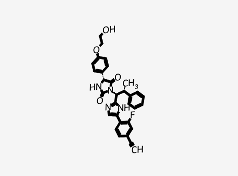 C#Cc1ccc(-c2cnc([C@H]([C@H](C)c3ccccc3)N3C(=O)N[C@H](c4ccc(OCCO)cc4)C3=O)[nH]2)c(F)c1